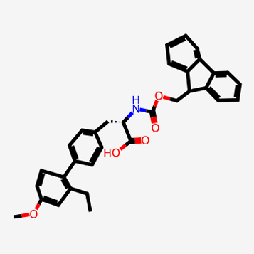 CCc1cc(OC)ccc1-c1ccc(C[C@H](NC(=O)OCC2c3ccccc3-c3ccccc32)C(=O)O)cc1